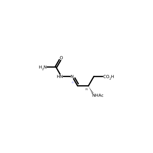 CC(=O)N[C@H](/C=N/NC(N)=O)CC(=O)O